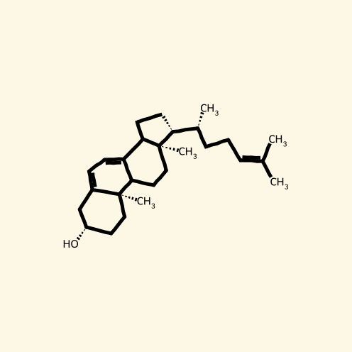 CC(C)=CCC[C@@H](C)[C@H]1CCC2C3=CC=C4C[C@@H](O)CC[C@]4(C)C3CC[C@@]21C